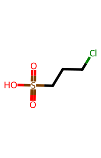 O=S(=O)(O)CCCCl